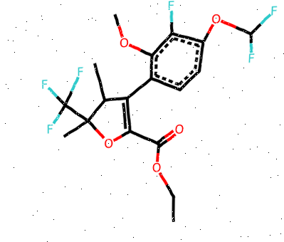 CCOC(=O)C1=C(c2ccc(OC(F)F)c(F)c2OC)C(C)C(C)(C(F)(F)F)O1